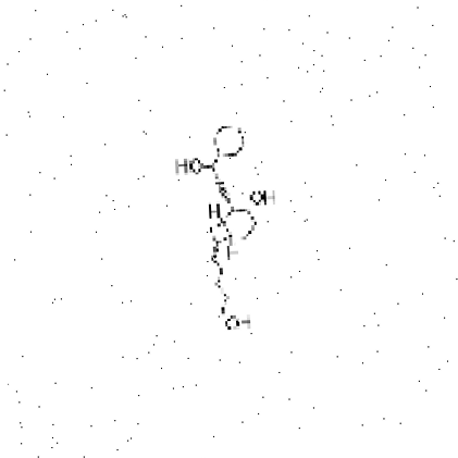 OCCCC/C=C1/C[C@@H]2[C@@H](C#CC(O)C3CCCCC3)[C@H](O)CC[C@H]12